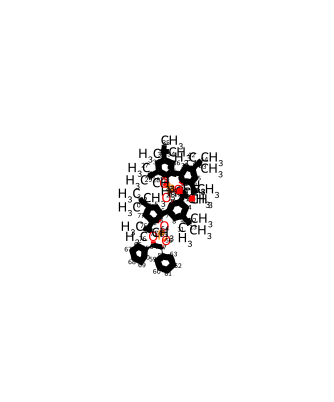 CC(C)(C)c1cc(-c2cc(C(C)(C)C)cc(C(C)(C)C)c2Op2oc3c(C(C)(C)C)cc(C(C)(C)C)cc3c3cc(C(C)(C)C)cc(C(C)(C)C)c3o2)c(OP2O[C@H](c3ccccc3)[C@@H](c3ccccc3)O2)c(C(C)(C)C)c1